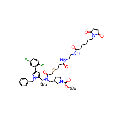 CC(C)(C)OC(=O)N1CCC(CN(C(=O)CSCCC(=O)NCCNC(=O)CCCCCN2C(=O)C=CC2=O)[C@@H](c2cc(-c3cc(F)ccc3F)cn2Cc2ccccc2)C(C)(C)C)C1